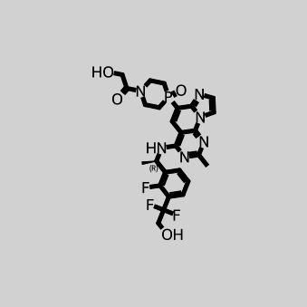 Cc1nc(N[C@H](C)c2cccc(C(F)(F)CO)c2F)c2cc(P3(=O)CCN(C(=O)CO)CC3)c3nccn3c2n1